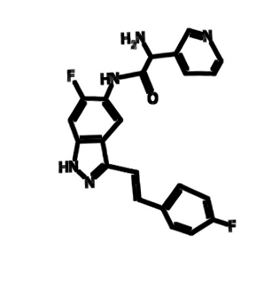 NC(C(=O)Nc1cc2c(C=Cc3ccc(F)cc3)n[nH]c2cc1F)c1cccnc1